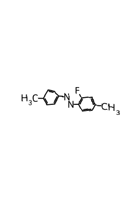 Cc1ccc(N=Nc2ccc(C)cc2F)cc1